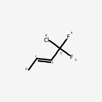 C/C=C/C(F)(F)Cl